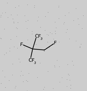 F[CH]C(F)(C(F)(F)F)C(F)(F)F